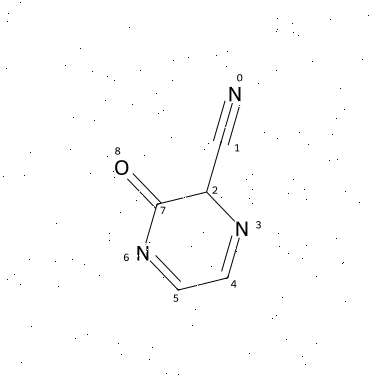 N#CC1N=CC=NC1=O